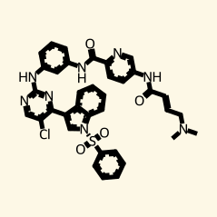 CN(C)CC=CC(=O)Nc1ccc(C(=O)Nc2cccc(Nc3ncc(Cl)c(-c4cn(S(=O)(=O)c5ccccc5)c5ccccc45)n3)c2)nc1